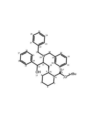 CC(C)(C)OC(=O)N1CCCC[C@H]1CC(C(O)c1ccccc1)N(Cc1ccccc1)Cc1ccccc1